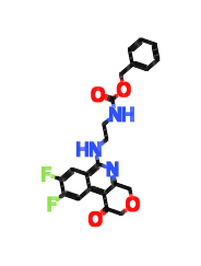 O=C(NCCNc1nc2c(c3cc(F)c(F)cc13)C(=O)COC2)OCc1ccccc1